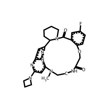 CN1CCNC(=O)COc2ccc(F)cc2C(=O)N2CCCCC2c2cc3nc(N4CCC4)cc1n3n2